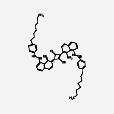 CCCCCCCCc1ccc(BNc2cccc3c2C(=N)/C(=C2\C(=O)C(c4ccc5cccc(NBc6ccc(CCCCCCCC)cc6)c5c4N)=C2O)C=C3)cc1